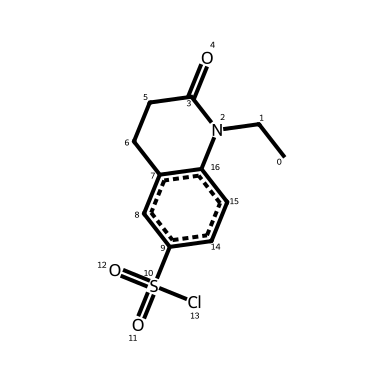 CCN1C(=O)CCc2cc(S(=O)(=O)Cl)ccc21